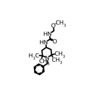 COCNC(=O)NC1CC(C)(C)N(Cc2ccccc2)C(C)(C)C1